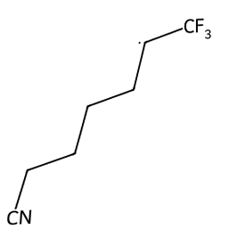 N#CCCCC[CH]C(F)(F)F